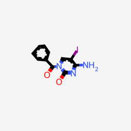 Nc1nc(=O)n(C(=O)c2ccccc2)cc1I